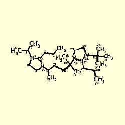 CCCB1N(C(C)C)CCN1C(C)CCC(C)(C)N1CCN(C(C)(C)C)B1CCC